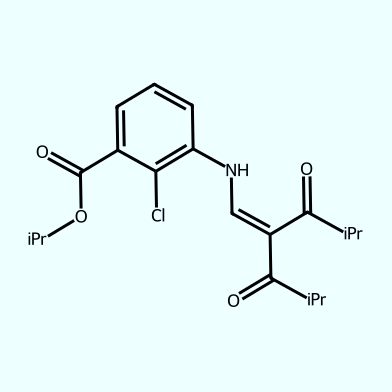 CC(C)OC(=O)c1cccc(NC=C(C(=O)C(C)C)C(=O)C(C)C)c1Cl